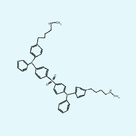 CNCCCCc1ccc(N(c2ccccc2)c2ccc(S(=O)(=O)c3ccc(N(c4ccccc4)c4ccc(CCCCNC)cc4)cc3)cc2)cc1